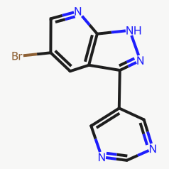 Brc1cnc2[nH]nc(-c3cncnc3)c2c1